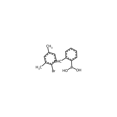 Cc1ccc(Br)c(C)c1.O=Cc1ccccc1B(O)O